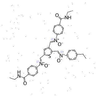 CCNC(=O)c1ccc(/[N+]([O-])=C/c2cc(/C=[N+](\[O-])c3ccc(C(=O)NCC)cc3)c(/C=[N+](\[O-])c3ccc(CC)cc3)s2)cc1